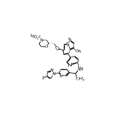 C[C@H](Nc1ccc(-c2cc(OC[C@H]3CN(C(=O)O)CCO3)cn3ncc(C#N)c23)cn1)c1ccc(-n2cc(F)cn2)nc1